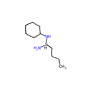 CCCC[SiH](N)NC1CCCCC1